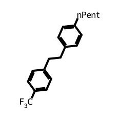 CCCCCc1ccc(CCc2ccc(C(F)(F)F)cc2)cc1